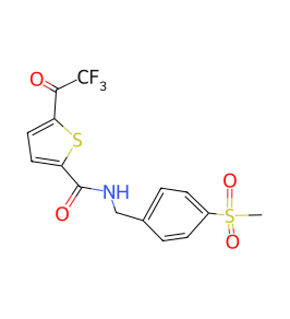 CS(=O)(=O)c1ccc(CNC(=O)c2ccc(C(=O)C(F)(F)F)s2)cc1